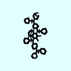 Cc1c(C)c(N(c2ccccc2)c2ccc(N(c3ccccc3)c3ccccc3)cc2)c2nccnc2c1N(c1ccccc1)c1ccc(N(C2=CC=CCC2)c2ccccc2)cc1